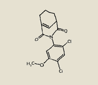 COc1cc(N2C(=O)C3=CC(CCC3)C2=O)c(Cl)cc1Cl